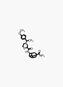 COc1ccc(C(C)N2CCOC(C(=O)NC3C4CC5CC3CC(C(N)=O)(C5)C4)C2)cc1